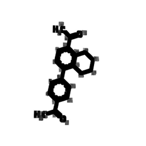 CC(=O)c1ccc(-c2ccc(C(C)=O)c3c2CCCC3)cc1